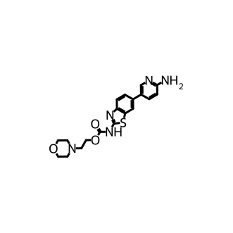 Nc1ccc(-c2ccc3nc(NC(=O)OCCN4CCOCC4)sc3c2)cn1